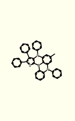 Cc1cc2c3c(c1)N(c1ccccc1)c1c(sc(-c4ccccc4)c1-c1ccccc1)B3c1ccccc1N2c1ccccc1